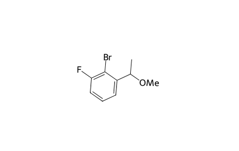 COC(C)c1cccc(F)c1Br